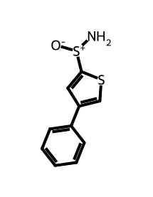 N[S+]([O-])c1cc(-c2ccccc2)cs1